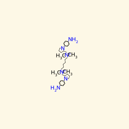 C[N+](C)(CCCCCC[N+](C)(C)CC1CCCN1c1ccc(N)cc1)CC1CCCN1c1ccc(N)cc1